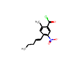 CCCC=Cc1cc(C)c(C(=O)Cl)cc1[N+](=O)[O-]